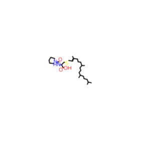 C/C(=C\CSCC(NC(=O)N1CCCCC1)C(=O)O)CCCC(C)CCCC(C)CCCC(C)C